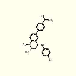 C=C(O)c1ccc(-c2ccc3c(c2)[C@H](Nc2ccc(Cl)cc2)C[C@H](C)N3C(C)=O)cc1